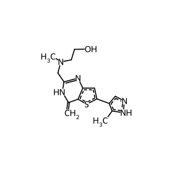 C=C1NC(CN(C)CCO)=Nc2cc(-c3cn[nH]c3C)sc21